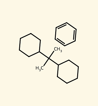 CC(C)(C1CCCCC1)C1CCCCC1.c1ccccc1